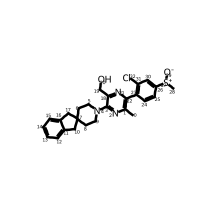 Cc1nc(N2CCC3(CC2)Cc2ccccc2C3)c(CO)nc1-c1ccc([S+](C)[O-])cc1Cl